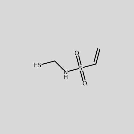 C=CS(=O)(=O)NCS